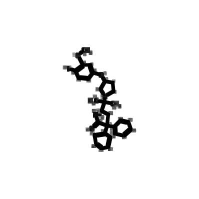 COc1cc(OC2CCN(C(C)(C)CCC(C(N)=O)(c3ccccc3)c3ccccc3)C2)ccc1F